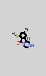 CCSc1cc(CC)cc2c1C(=O)N1CCNC[C@H]21